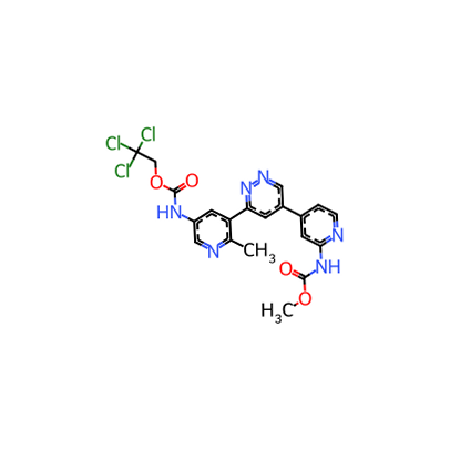 COC(=O)Nc1cc(-c2cnnc(-c3cc(NC(=O)OCC(Cl)(Cl)Cl)cnc3C)c2)ccn1